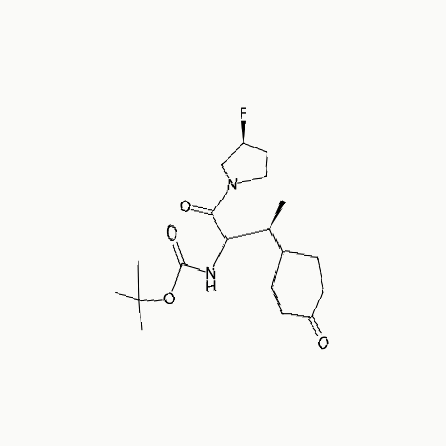 C[C@@H](C1CCC(=O)CC1)C(NC(=O)OC(C)(C)C)C(=O)N1CC[C@H](F)C1